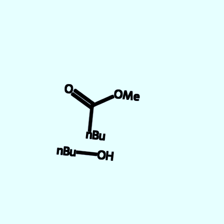 CCCCC(=O)OC.CCCCO